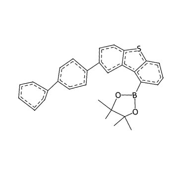 CC1(C)OB(c2cccc3sc4ccc(-c5ccc(-c6ccccc6)cc5)cc4c23)OC1(C)C